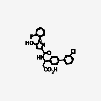 O=C(O)CC(NC(=O)c1cc(O)n(-c2ccccc2F)n1)c1ccc(-c2cccc(Cl)c2)cc1